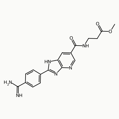 COC(=O)CCNC(=O)c1cnc2nc(-c3ccc(C(=N)N)cc3)[nH]c2c1